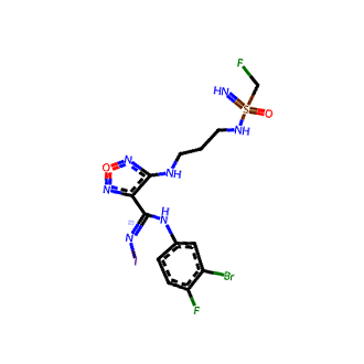 N=S(=O)(CF)NCCCNc1nonc1/C(=N/I)Nc1ccc(F)c(Br)c1